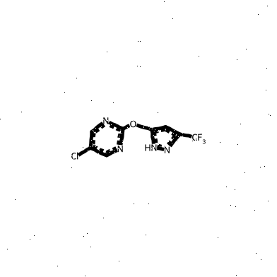 FC(F)(F)c1cc(Oc2ncc(Cl)cn2)[nH]n1